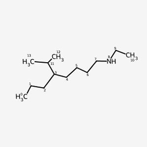 CCCC(CCCCNCC)C(C)C